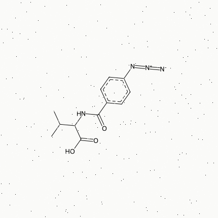 CC(C)C(NC(=O)c1ccc(N=[N+]=[N-])cc1)C(=O)O